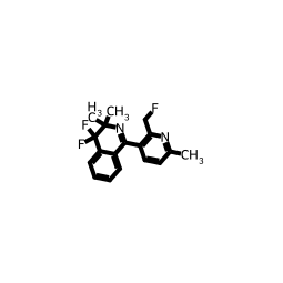 Cc1ccc(C2=NC(C)(C)C(F)(F)c3ccccc32)c(CF)n1